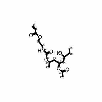 C=CC(=O)OCCNC(=O)OC(C)CC(CC(O)CC)OC(C)=O